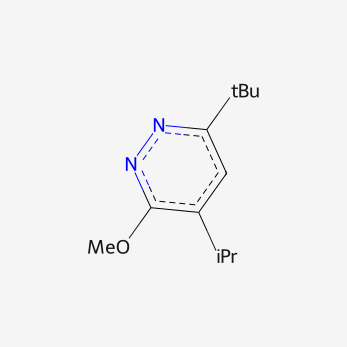 COc1nnc(C(C)(C)C)cc1C(C)C